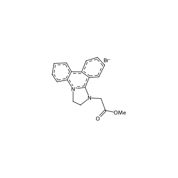 COC(=O)CN1CC[n+]2c1c1ccccc1c1ccccc12.[Br-]